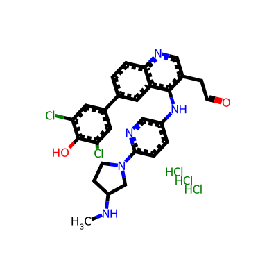 CNC1CCN(c2ccc(Nc3c(CC=O)cnc4ccc(-c5cc(Cl)c(O)c(Cl)c5)cc34)cn2)C1.Cl.Cl.Cl